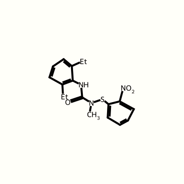 CCc1cccc(CC)c1NC(=O)N(C)Sc1ccccc1[N+](=O)[O-]